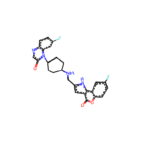 O=c1oc2ccc(F)cc2c2[nH]c(CNC3CCC(n4c(=O)cnc5ccc(F)cc54)CC3)cc12